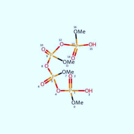 COP(=O)(O)OP(=O)(OC)OP(=O)(OC)OP(=O)(O)OC